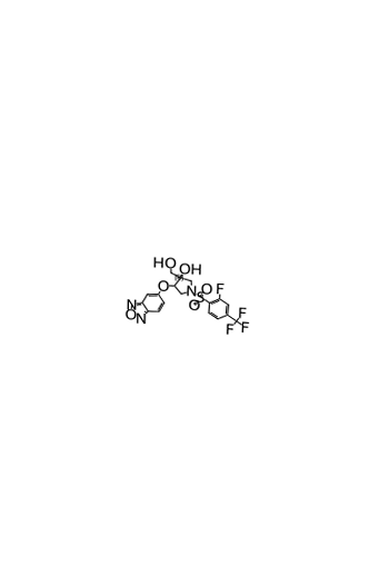 O=S(=O)(c1ccc(C(F)(F)F)cc1F)N1CC(Oc2ccc3nonc3c2)[C@](O)(CO)C1